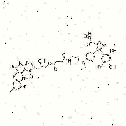 CCNC(=O)c1nnc(-c2cc(C(C)C)c(O)cc2O)n1-c1ccc(N(C)C2CCN(C(=O)CCC(=O)OC[C@H](O)Cn3cnc4c(c(Nc5ccc(I)cc5F)c(F)c(=O)n4C)c3=O)CC2)nc1